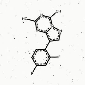 Oc1nc(O)n2ncc(-c3ccc(F)cc3F)c2n1